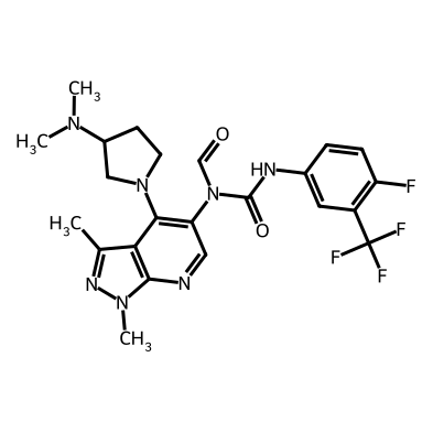 Cc1nn(C)c2ncc(N(C=O)C(=O)Nc3ccc(F)c(C(F)(F)F)c3)c(N3CCC(N(C)C)C3)c12